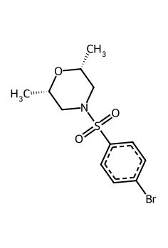 C[C@@H]1CN(S(=O)(=O)c2ccc(Br)cc2)C[C@H](C)O1